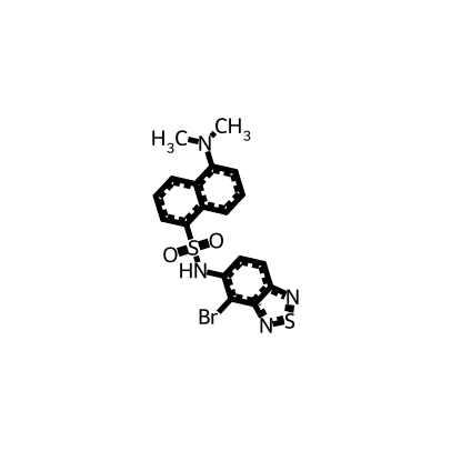 CN(C)c1cccc2c(S(=O)(=O)Nc3ccc4nsnc4c3Br)cccc12